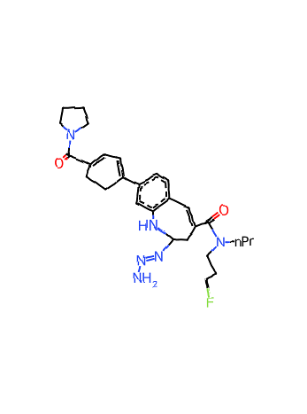 CCCN(CCCF)C(=O)C1=Cc2ccc(C3=CC=C(C(=O)N4CCCC4)CC3)cc2NC(N=NN)C1